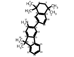 CC1(C)CCC(C)(C)c2cc(-c3cc4c(cc3N)C(C)(C)c3ccccc3-4)ccc21